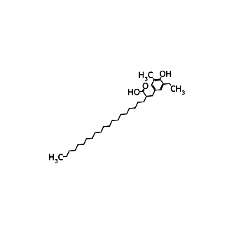 CCCCCCCCCCCCCCCCCCCCC(Cc1cc(C)c(O)c(CC)c1)C(=O)O